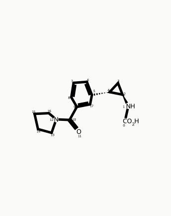 O=C(O)N[C@@H]1C[C@H]1c1cccc(C(=O)N2CCCC2)c1